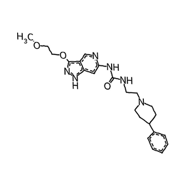 COCCOc1n[nH]c2cc(NC(=O)NCCN3CCC(c4ccccc4)CC3)ncc12